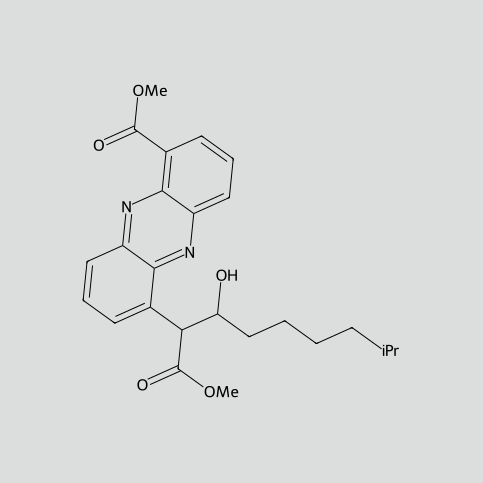 COC(=O)c1cccc2nc3c(C(C(=O)OC)C(O)CCCCC(C)C)cccc3nc12